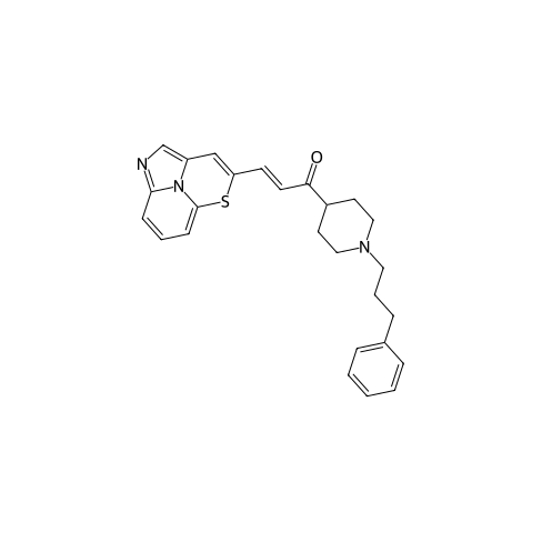 O=C(C=CC1=Cc2cnc3cccc(n23)S1)C1CCN(CCCc2ccccc2)CC1